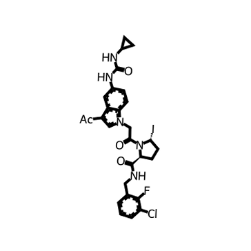 CC(=O)c1cn(CC(=O)N2[C@H](I)CC[C@H]2C(=O)NCc2cccc(Cl)c2F)c2ccc(NC(=O)NC3CC3)cc12